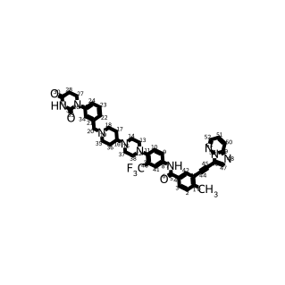 Cc1ccc(C(=O)Nc2ccc(N3CCN(C4CCN(Cc5cccc(N6CCC(=O)NC6=O)c5)CC4)CC3)c(C(F)(F)F)c2)cc1C#Cc1cnc2cccnn12